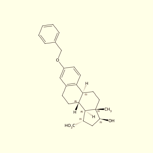 C[C@]12CC[C@@H]3c4ccc(OCc5ccccc5)cc4CC[C@H]3[C@@H]1[C@@H](C(=O)O)C[C@@H]2O